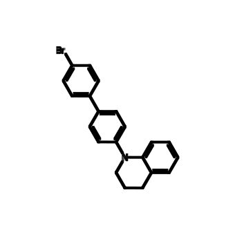 Brc1ccc(-c2ccc(N3CCCc4ccccc43)cc2)cc1